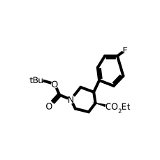 CCOC(=O)[C@H]1CCN(C(=O)OC(C)(C)C)CC1c1ccc(F)cc1